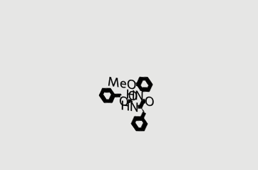 COc1ccccc1NC(=O)[C@H](Cc1ccccc1)NC(=O)OCc1ccccc1